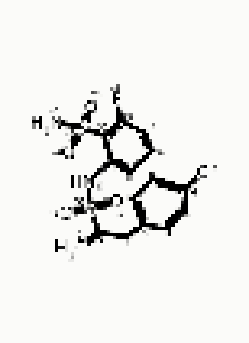 C=C(Cc1ccc(Cl)cc1)S(=O)(=O)Nc1cccc(F)c1S(N)(=O)=O